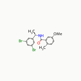 COc1ccc(C)c(C(=O)N[C@H](C)c2cc(Br)cc(Br)c2)c1